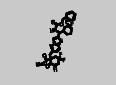 COC(=O)C1(Cc2ccc3nc(C(NC(=O)OCc4ccccc4)C4CCCC(F)(F)C4)cn3n2)CC(F)(F)CNC1=O